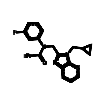 CCCC(=O)N(Cc1nc2cccnc2n1CC1CC1)c1cccc(F)c1